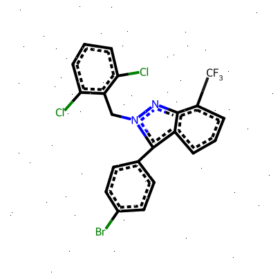 FC(F)(F)c1cccc2c(-c3ccc(Br)cc3)n(Cc3c(Cl)cccc3Cl)nc12